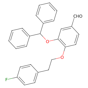 O=Cc1ccc(OCCc2ccc(F)cc2)c(OC(c2ccccc2)c2ccccc2)c1